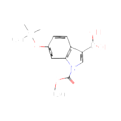 CC(C)(C)OC(=O)n1cc(B(O)O)c2ccc(O[Si](C)(C)C(C)(C)C)cc21